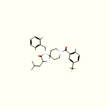 CC(C)CC1NC2(CCN(C(=O)c3cc(C(F)(F)F)ccc3Cl)CC2)N(Cc2c(Cl)cccc2Cl)C1=O